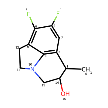 CC1c2cc(F)c(F)c3c2N(CC3)CC1O